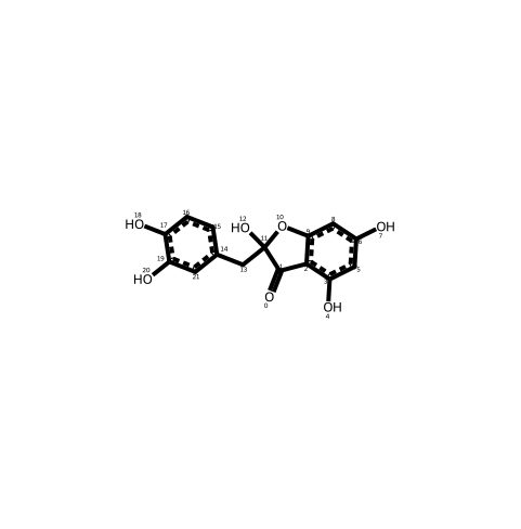 O=C1c2c(O)cc(O)cc2OC1(O)Cc1ccc(O)c(O)c1